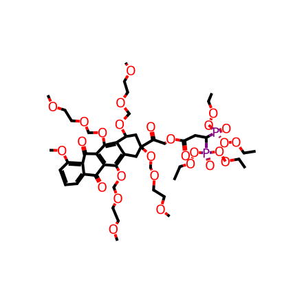 CCOOP(=O)(OOCC)C(CC(=O)OCC(=O)C1(OCOCCOC)Cc2c(OCOCCOC)c3c(c(OCOCCOC)c2C(OCOCCOC)C1)C(=O)c1c(OC)cccc1C3=O)P(=O)(OOCC)OOCC